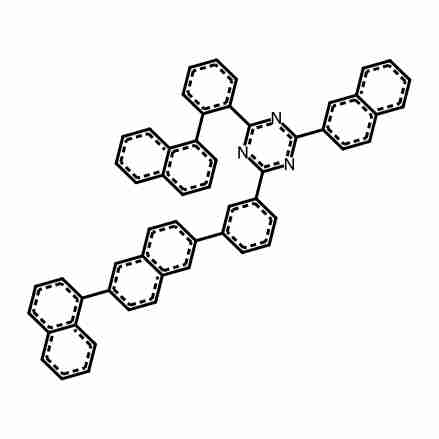 c1cc(-c2ccc3cc(-c4cccc5ccccc45)ccc3c2)cc(-c2nc(-c3ccc4ccccc4c3)nc(-c3ccccc3-c3cccc4ccccc34)n2)c1